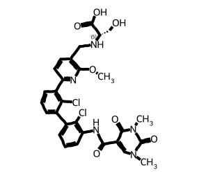 COc1nc(-c2cccc(-c3cccc(NC(=O)c4cn(C)c(=O)n(C)c4=O)c3Cl)c2Cl)ccc1CN[C@@H](CO)C(=O)O